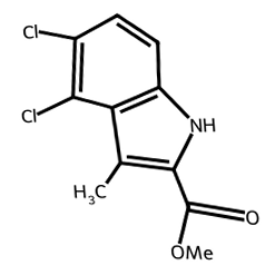 COC(=O)c1[nH]c2ccc(Cl)c(Cl)c2c1C